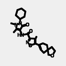 Cc1c(C(=O)Nc2c(C)n(C)n(C3CCCCC3)c2=O)noc1C1=CCC2(CCOC2)CC1